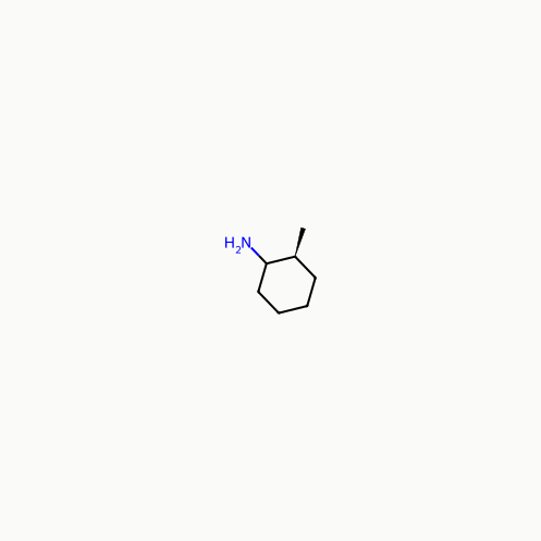 C[C@H]1CCCCC1N